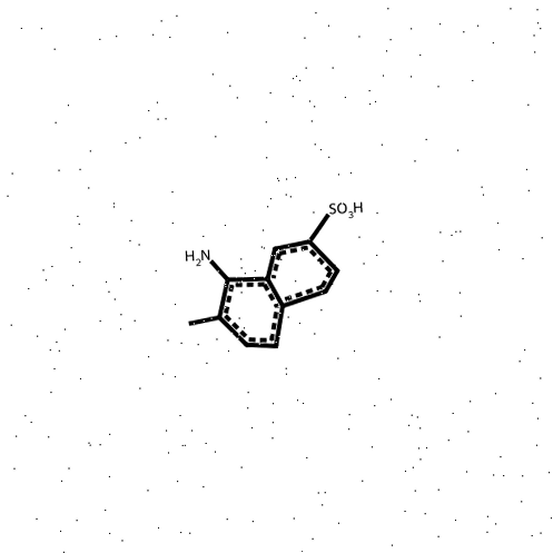 Cc1ccc2ccc(S(=O)(=O)O)cc2c1N